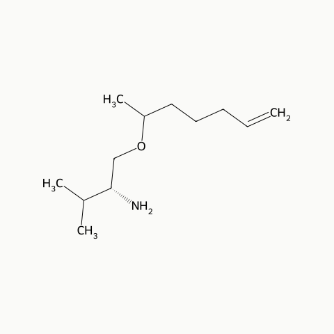 C=CCCCC(C)OC[C@H](N)C(C)C